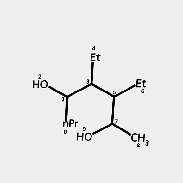 CCCC(O)C(CC)C(CC)C(C)O